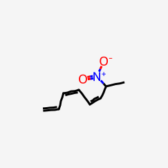 C=C/C=C\C=C/C(C)[N+](=O)[O-]